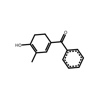 CC1=C(O)CCC(C(=O)c2ccccc2)=C1